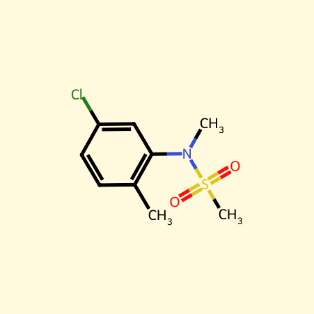 Cc1ccc(Cl)cc1N(C)S(C)(=O)=O